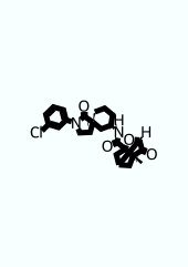 C[C@@]12CC3CC1(C(=O)N[C@@H]1CCC[C@@]4(CCN(c5cccc(Cl)c5)C4=O)C1)O[C@H]3C2=O